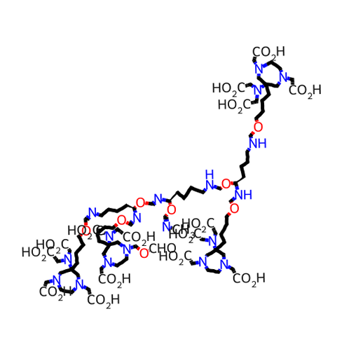 C/N=C\O[C@H](CCCCNCO[C@@H](CCCCNCOCCCCC1(N(CC(=O)O)CC(=O)O)CN(CC(=O)O)CCN(CC(=O)O)C1)NCOCCCCC1(N(CC(=O)O)CC(=O)O)CN(CC(=O)O)CCN(CC(=O)O)C1)/N=C/O[C@H](CCCC/N=C\OCCCCC1(N(CC(=O)O)CC(=O)O)CN(CC(=O)O)CCN(CC(=O)O)C1)/N=C\OCCCCC1(N(CC(=O)O)CC(=O)O)CN(COC=O)CCN(CC(=O)O)C1